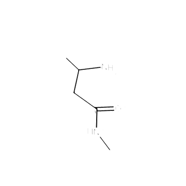 [CH2]C(N)CC(=O)NC